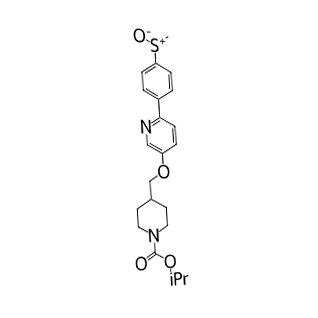 CC(C)OC(=O)N1CCC(COc2ccc(-c3ccc([S+](C)[O-])cc3)nc2)CC1